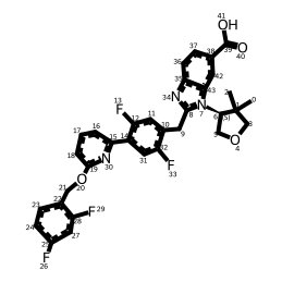 CC1(C)COC[C@H]1n1c(Cc2cc(F)c(-c3cccc(OCc4ccc(F)cc4F)n3)cc2F)nc2ccc(C(=O)O)cc21